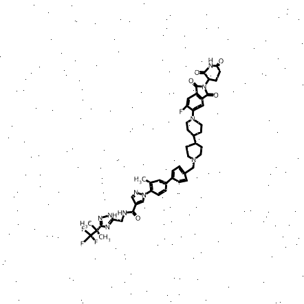 Cc1cc(-c2ccc(CN3CCC(C4CCN(c5cc6c(cc5F)C(=O)N(C5CCC(=O)NC5=O)C6=O)CC4)CC3)cc2)ccc1-n1cc(C(=O)NCc2nc(C(C)(C)C(F)(F)F)n[nH]2)cn1